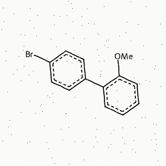 COc1[c]cccc1-c1ccc(Br)cc1